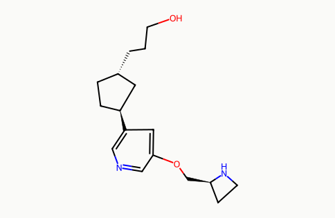 OCCC[C@H]1CC[C@H](c2cncc(OC[C@@H]3CCN3)c2)C1